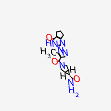 Cc1c(C(=O)N2C[C@@H]3[C@H](C2)[C@@H]3C(N)=O)cnn1-c1nc2c(c(=O)[nH]1)CCC2